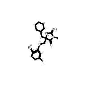 CN1C(=N)NC(COC2=C(Br)CCC(F)=C2)(CC2CCCCC2)C1=O